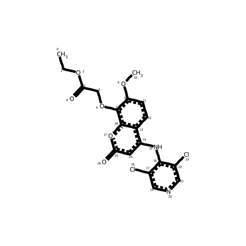 CCOC(=O)COc1c(OC)ccc2c(Nc3c(Cl)cncc3Cl)cc(=O)oc12